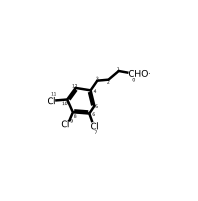 O=[C]CCCc1cc(Cl)c(Cl)c(Cl)c1